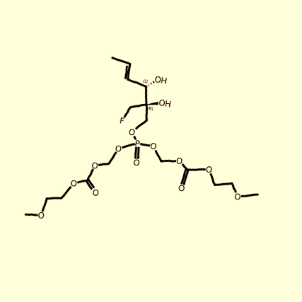 CC=C[C@H](O)[C@@](O)(CF)COP(=O)(OCOC(=O)OCCOC)OCOC(=O)OCCOC